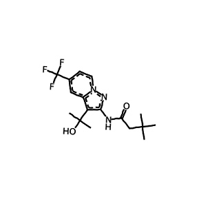 CC(C)(C)CC(=O)Nc1nn2ccc(C(F)(F)F)cc2c1C(C)(C)O